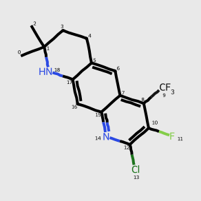 CC1(C)CCc2cc3c(C(F)(F)F)c(F)c(Cl)nc3cc2N1